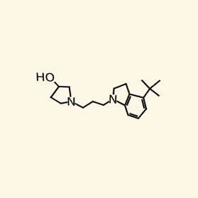 CC(C)(C)c1cccc2c1CCN2CCCN1CCC(O)C1